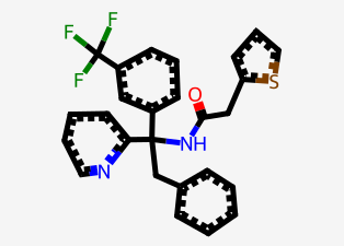 O=C(Cc1cccs1)NC(Cc1ccccc1)(c1cccc(C(F)(F)F)c1)c1ccccn1